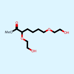 COC(=O)C(CCCCOCCO)OCCO